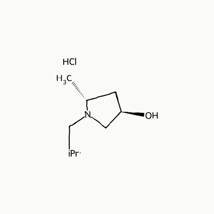 C[C](C)CN1C[C@H](O)C[C@H]1C.Cl